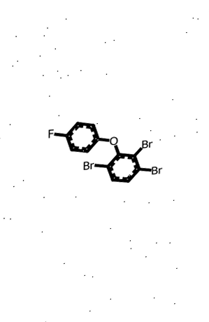 Fc1ccc(Oc2c(Br)ccc(Br)c2Br)cc1